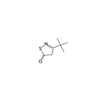 CC(C)(C)C1=NSC(=O)C1